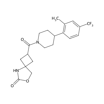 Cc1cc(C(F)(F)F)ccc1C1CCN(C(=O)C2CC3(COC(=O)N3)C2)CC1